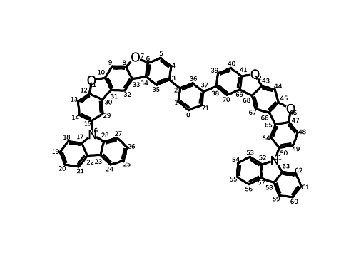 c1cc(-c2ccc3oc4cc5oc6ccc(-n7c8ccccc8c8ccccc87)cc6c5cc4c3c2)cc(-c2ccc3oc4cc5oc6ccc(-n7c8ccccc8c8ccccc87)cc6c5cc4c3c2)c1